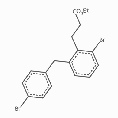 CCOC(=O)CCc1c(Br)cccc1Cc1ccc(Br)cc1